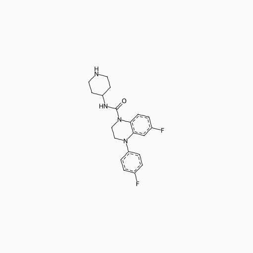 O=C(NC1CCNCC1)N1CCN(c2ccc(F)cc2)c2cc(F)ccc21